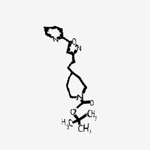 CC(C)(C)OC(=O)N1CCC(CCc2cc(-c3ccccn3)on2)CC1